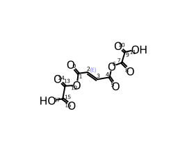 O=C(/C=C/C(=O)OC(=O)C(=O)O)OC(=O)C(=O)O